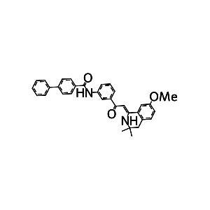 COc1ccc2c(c1)C(=CC(=O)c1cccc(NC(=O)c3ccc(-c4ccccc4)cc3)c1)NC(C)(C)C2